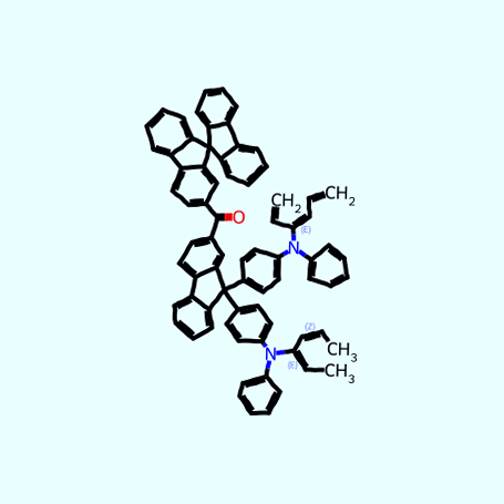 C=C/C=C(\C=C)N(c1ccccc1)c1ccc(C2(c3ccc(N(C(/C=C\C)=C/C)c4ccccc4)cc3)c3ccccc3-c3ccc(C(=O)c4ccc5c(c4)C4(c6ccccc6-c6ccccc64)c4ccccc4-5)cc32)cc1